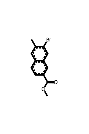 COC(=O)c1ccc2cc(C)c(Br)cc2c1